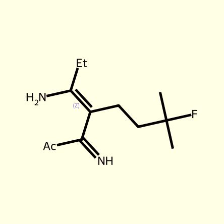 CC/C(N)=C(\CCC(C)(C)F)C(=N)C(C)=O